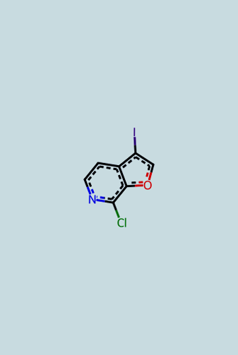 Clc1nccc2c(I)coc12